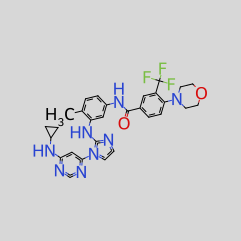 Cc1ccc(NC(=O)c2ccc(N3CCOCC3)c(C(F)(F)F)c2)cc1Nc1nccn1-c1cc(NC2CC2)ncn1